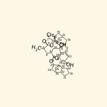 CCC1(OC(=O)C(C)CC(CC(C)c2ccc(O)cc2)C(=O)OC2CC3CC2C2CCCC32)C2CC3CC(C2)CC1C3